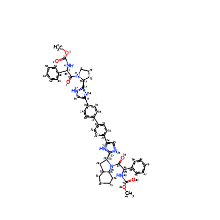 COC(=O)N[C@@H](C(=O)N1CCC[C@H]1c1nc(-c2ccc(-c3ccc(-c4cnc([C@@H]5CC6CCCCC6N5C(=O)[C@H](NC(=O)OC)c5ccccc5)[nH]4)cc3)cc2)c[nH]1)c1ccccc1